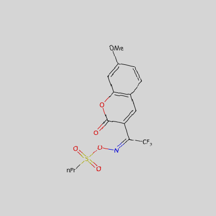 CCCS(=O)(=O)O/N=C(\c1cc2ccc(OC)cc2oc1=O)C(F)(F)F